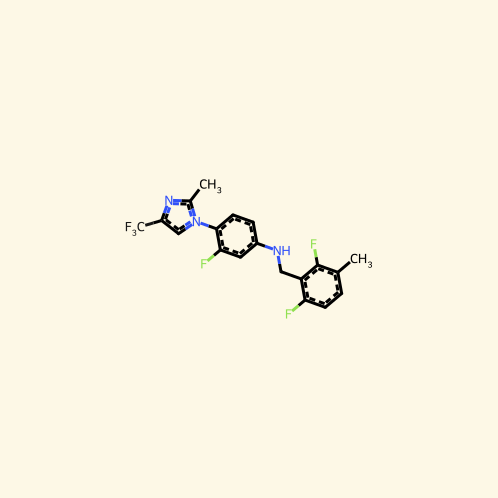 Cc1ccc(F)c(CNc2ccc(-n3cc(C(F)(F)F)nc3C)c(F)c2)c1F